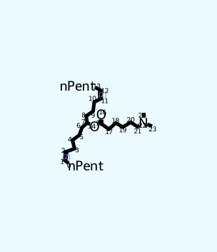 CCCCC/C=C\CCCCC(CCC/C=C\CCCCC)OC(=O)CCCCCN(C)C